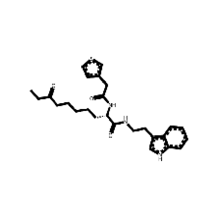 CCC(=O)CCCCC[C@H](NC(=O)Cc1ccsc1)C(=O)NCCc1c[nH]c2ccccc12